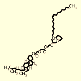 CCCCCCCC/C=C\CCCCCCCCOCC(CN1CCCCC1)OCCOC(=O)COCC(=O)O[C@H]1CC[C@@]2(C)C(=CC[C@H]3[C@@H]4CC[C@H]([C@H](C)CCCC(C)C)[C@@]4(C)CC[C@@H]32)C1